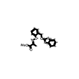 COC(=O)/C(C)=N/Oc1ccccc1COc1nc2ccccc2s1